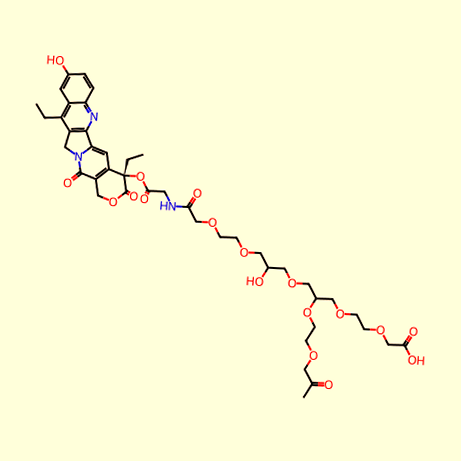 CCc1c2c(nc3ccc(O)cc13)-c1cc3c(c(=O)n1C2)COC(=O)[C@@]3(CC)OC(=O)CNC(=O)COCCOCC(O)COCC(COCCOCC(=O)O)OCCOCC(C)=O